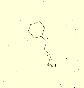 CCCCCCCSC1CCCCC1